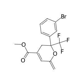 C=C1C=C(C(=O)OC)CC(c2cccc(Br)c2)(C(F)(F)F)O1